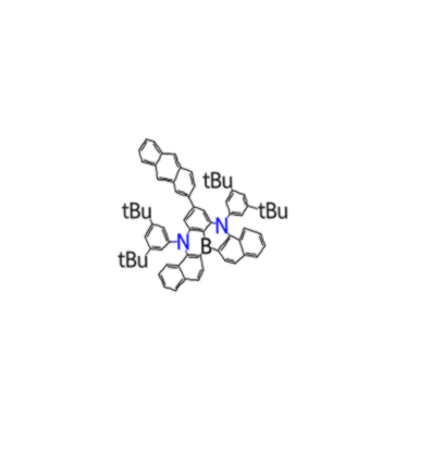 CC(C)(C)c1cc(N2c3cc(-c4ccc5cc6ccccc6cc5c4)cc4c3B(c3ccc5ccccc5c32)c2ccc3ccccc3c2N4c2cc(C(C)(C)C)cc(C(C)(C)C)c2)cc(C(C)(C)C)c1